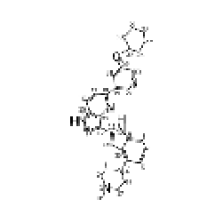 CN1CCN(c2cccc3[nH]c(-c4n[nH]c5ccc(-c6cncc(OC7CCCCC7)c6)nc45)cc23)CC1